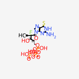 C#CC1(F)[C@@H](O)[C@@H](COP(=O)(O)OP(=O)(O)OP(=O)(O)O)O[C@H]1n1cnc2c(=S)[nH]c(N)nc21